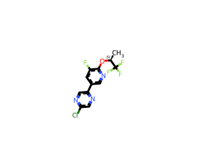 C[C@H](Oc1ncc(-c2cnc(Cl)cn2)cc1F)C(F)(F)F